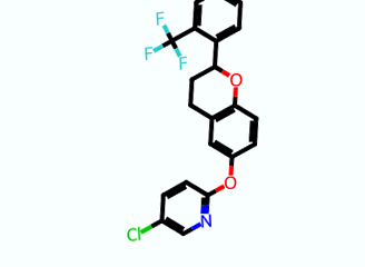 FC(F)(F)c1ccccc1C1CCc2cc(Oc3ccc(Cl)cn3)ccc2O1